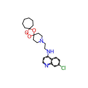 Clc1ccc2c(NCCN3CCC4(CC3)OOC3(CCCCCC3)O4)ccnc2c1